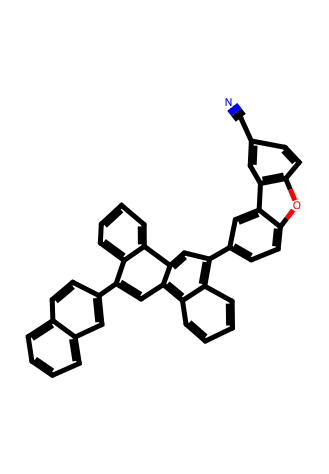 N#Cc1ccc2oc3ccc(-c4cc5c6ccccc6c(-c6ccc7ccccc7c6)cc5c5ccccc45)cc3c2c1